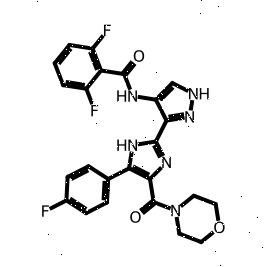 O=C(Nc1c[nH]nc1-c1nc(C(=O)N2CCOCC2)c(-c2ccc(F)cc2)[nH]1)c1c(F)cccc1F